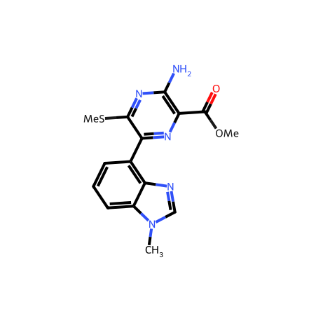 COC(=O)c1nc(-c2cccc3c2ncn3C)c(SC)nc1N